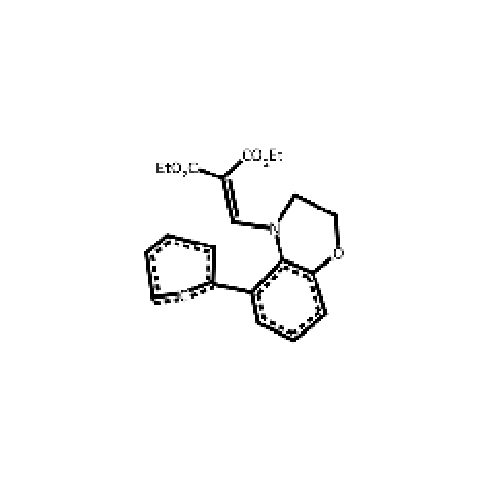 CCOC(=O)C(=CN1CCOc2cccc(-c3ccccc3)c21)C(=O)OCC